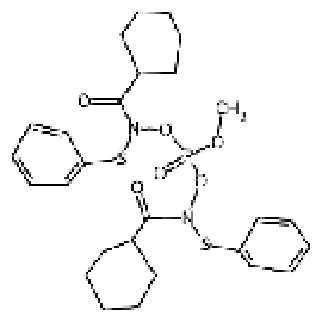 COP(=O)(ON(Sc1ccccc1)C(=O)C1CCCCC1)ON(Sc1ccccc1)C(=O)C1CCCCC1